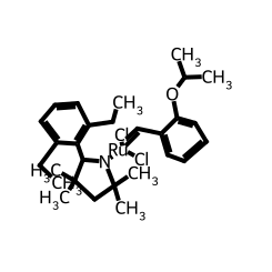 CCc1cccc(CC)c1C1[N]([Ru]([Cl])([Cl])=[CH]c2ccccc2OC(C)C)C(C)(C)CC1(C)C